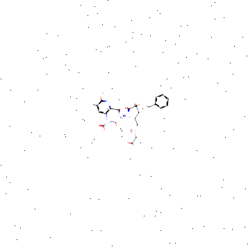 C[C@H](O)COCCCC(OCc1ccccc1)(c1nnc(-c2nc(O)c(C(F)(F)F)cc2N(C(=O)OC(C)(C)C)C(=O)OC(C)(C)C)o1)C(F)(F)F